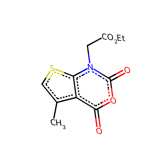 CCOC(=O)Cn1c(=O)oc(=O)c2c(C)csc21